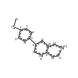 CSc1ccc(-c2cnc3ccncc3c2)cc1